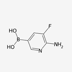 Nc1ncc(B(O)O)cc1F